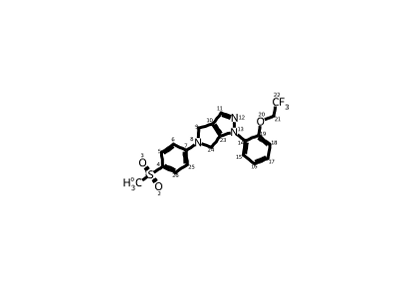 CS(=O)(=O)c1ccc(N2Cc3cnn(-c4ccccc4OCC(F)(F)F)c3C2)cc1